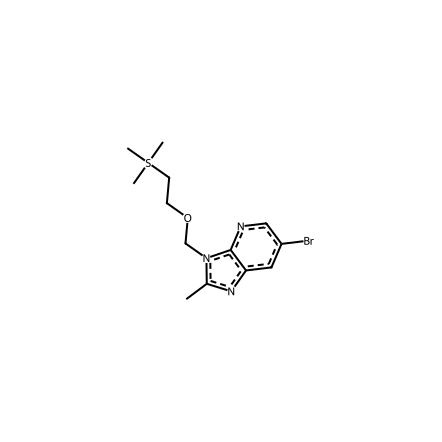 Cc1nc2cc(Br)cnc2n1COCCS(C)(C)C